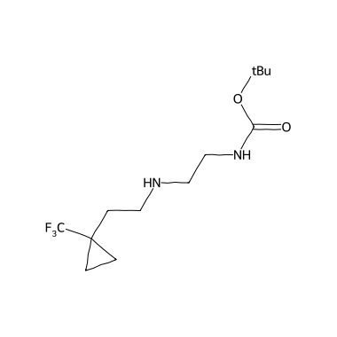 CC(C)(C)OC(=O)NCCNCCC1(C(F)(F)F)CC1